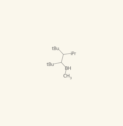 CBC(C(C(C)C)C(C)(C)C)C(C)(C)C